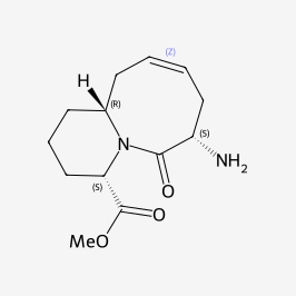 COC(=O)[C@@H]1CCC[C@@H]2C/C=C\C[C@H](N)C(=O)N21